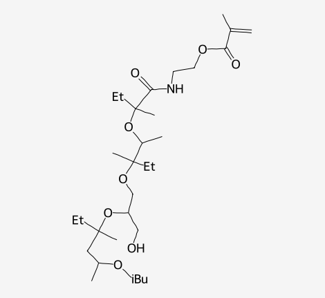 C=C(C)C(=O)OCCNC(=O)C(C)(CC)OC(C)C(C)(CC)OCC(CO)OC(C)(CC)CC(C)OC(C)CC